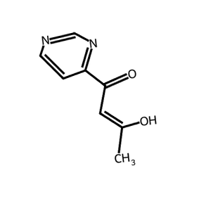 C/C(O)=C/C(=O)c1ccncn1